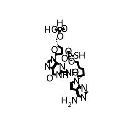 Nc1nc2c(ncn2[C@@H]2O[C@H](CO[PH](=O)O)CC2OP(=O)(S)OCC2CC[C@H](n3ccc4c(N)ncnc43)O2)c(=O)[nH]1